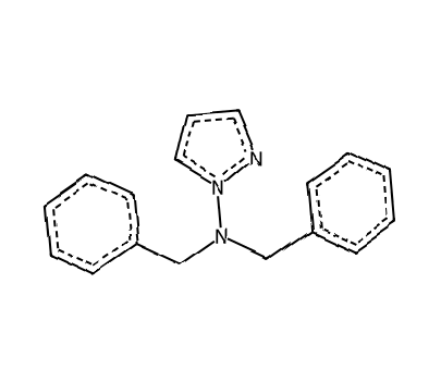 c1ccc(CN(Cc2ccccc2)n2cccn2)cc1